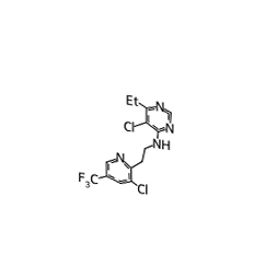 CCc1ncnc(NCCc2ncc(C(F)(F)F)cc2Cl)c1Cl